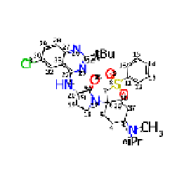 CC(C)N(C)C1CCC(CS(=O)(=O)c2ccccc2)(N2CC[C@H](Nc3nc(C(C)(C)C)nc4ccc(Cl)cc34)C2=O)CC1